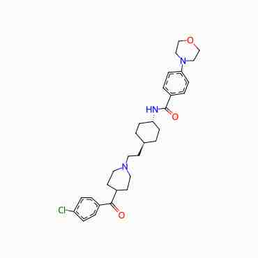 O=C(N[C@H]1CC[C@H](CCN2CCC(C(=O)c3ccc(Cl)cc3)CC2)CC1)c1ccc(N2CCOCC2)cc1